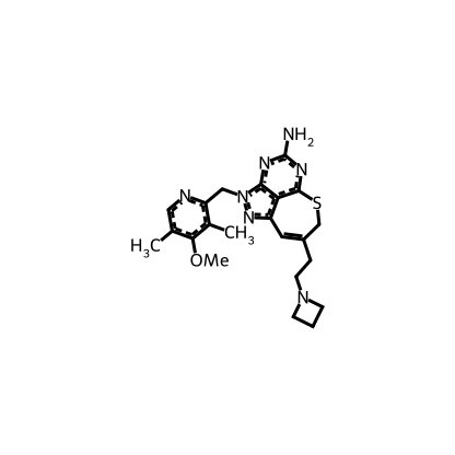 COc1c(C)cnc(Cn2nc3c4c(nc(N)nc42)SCC(CCN2CCC2)=C3)c1C